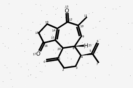 C=C1CC[C@H](C(=C)C)[C@H]2C=C(C)C(=O)C3=C(C(=O)CC3)C12